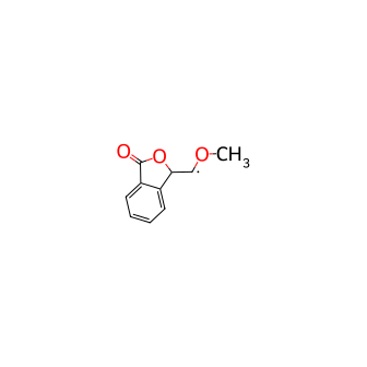 CO[CH]C1OC(=O)c2ccccc21